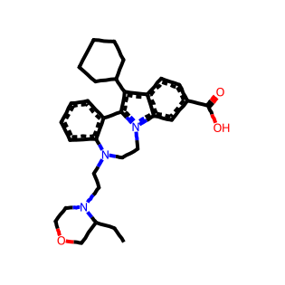 CCC1COCCN1CCN1CCn2c(c(C3CCCCC3)c3ccc(C(=O)O)cc32)-c2ccccc21